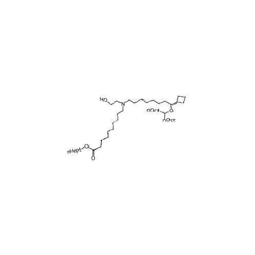 CCCCCCCCC(CCCCCCCC)OC(CCCCCCCN(CCO)CCCCCCCCCC(=O)OCCCCCCC)=C1CCC1